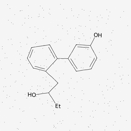 CCC(O)Cc1ccccc1-c1cccc(O)c1